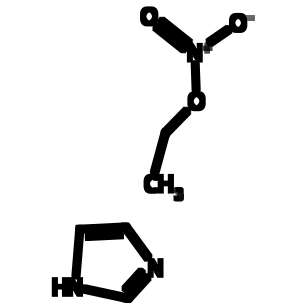 CCO[N+](=O)[O-].c1c[nH]cn1